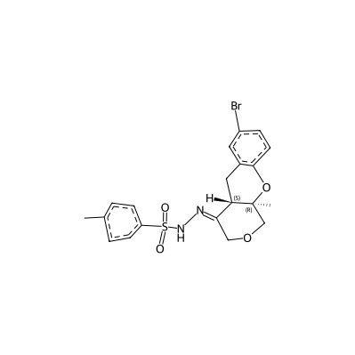 Cc1ccc(S(=O)(=O)NN=C2COC[C@]3(C)Oc4ccc(Br)cc4C[C@@H]23)cc1